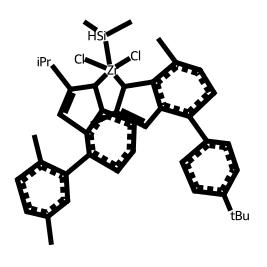 CC1=Cc2c(-c3ccc(C(C)(C)C)cc3)ccc(C)c2[CH]1[Zr]([Cl])([Cl])([CH]1C(C(C)C)=Cc2c(-c3cc(C)ccc3C)cccc21)[SiH](C)C